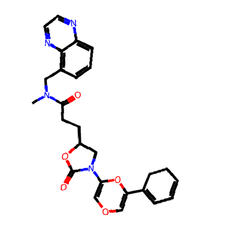 CN(Cc1cccc2nccnc12)C(=O)CCC1CN(C2=COC=C(C3=CC=CCC3)O2)C(=O)O1